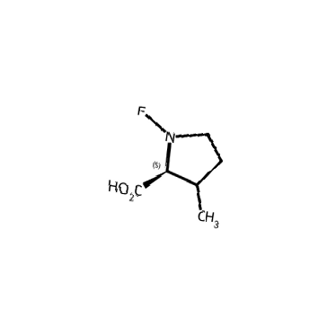 CC1CCN(F)[C@@H]1C(=O)O